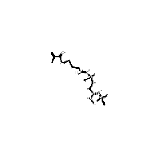 C=C(C)C(=O)OCCC[SiH2]O[Si](C)(C)CC[SiH](OC)O[Si](C)(C)C